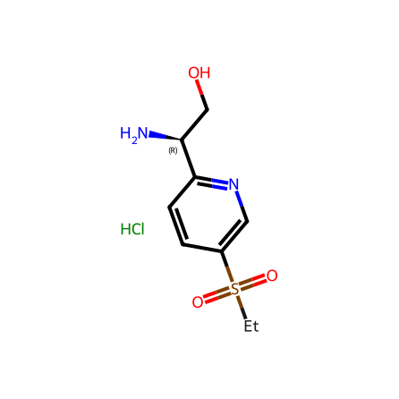 CCS(=O)(=O)c1ccc([C@@H](N)CO)nc1.Cl